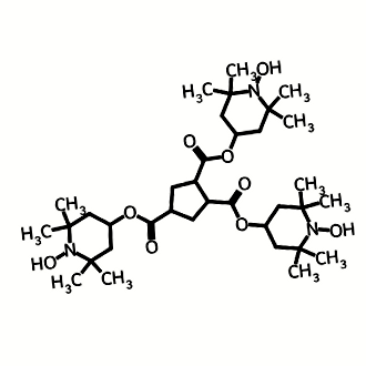 CC1(C)CC(OC(=O)C2CC(C(=O)OC3CC(C)(C)N(O)C(C)(C)C3)C(C(=O)OC3CC(C)(C)N(O)C(C)(C)C3)C2)CC(C)(C)N1O